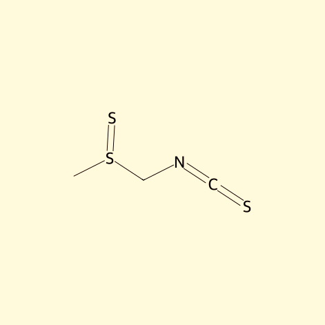 CS(=S)CN=C=S